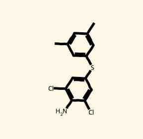 Cc1cc(C)cc(Sc2cc(Cl)c(N)c(Cl)c2)c1